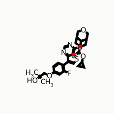 CC(C)(O)COc1ccc(-c2csc3c(OC4C5COCC4CN(C(=O)OC4CC4)C5)ncnc23)c(F)c1